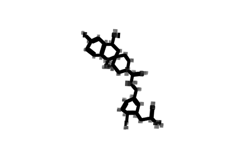 CN1c2ccc(F)cc2C(O)CC12CCN(C(=O)NCc1ccc(F)c(CC(N)=O)c1)CC2